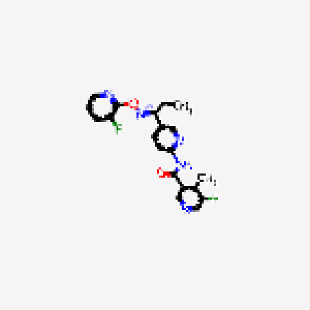 CC/C(=N\Oc1ncccc1F)c1ccc(NC(=O)c2cncc(F)c2C)nc1